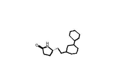 O=C1CC[C@@H](CCC2CCCC(C3CCCCC3)C2)N1